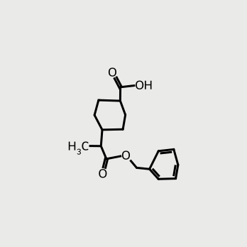 CC(C(=O)OCc1ccccc1)C1CCC(C(=O)O)CC1